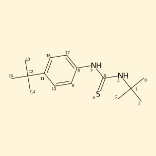 CC(C)(C)NC(=S)Nc1ccc(C(C)(C)C)cc1